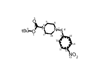 CC(C)(C)OC(=O)N1CCN(Sc2ccc([N+](=O)[O-])cc2)CC1